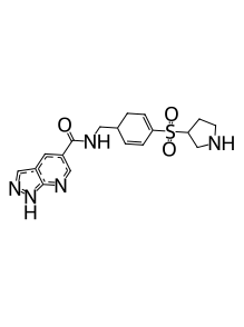 O=C(NCC1C=CC(S(=O)(=O)C2CCNC2)=CC1)c1cnc2[nH]ncc2c1